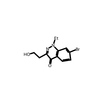 CCn1nc(CCO)c(=O)c2ccc(Br)cc21